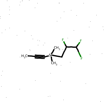 CC#C[Si](C)(C)CC(F)C(F)F